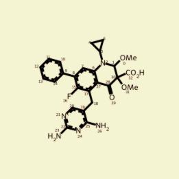 COC1N(C2CC2)c2cc(-c3ccccc3)c(F)c(Cc3cnc(N)nc3N)c2C(=O)C1(OC)C(=O)O